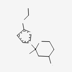 CC1(n2ccc(OCC(F)(F)F)n2)CC(O)CCO1